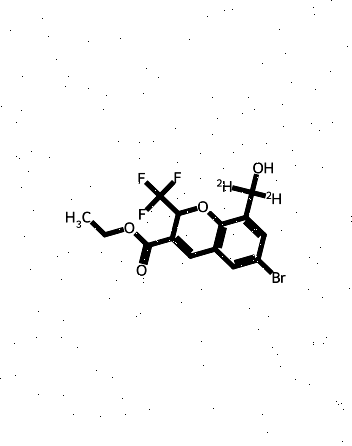 [2H]C([2H])(O)c1cc(Br)cc2c1OC(C(F)(F)F)C(C(=O)OCC)=C2